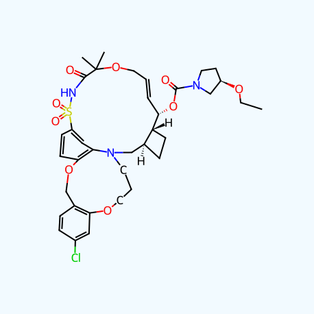 CCO[C@@H]1CCN(C(=O)O[C@H]2/C=C/COC(C)(C)C(=O)NS(=O)(=O)c3ccc4c(c3)N(CCCOc3cc(Cl)ccc3CO4)C[C@@H]3CC[C@H]32)C1